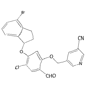 N#Cc1cncc(COc2cc(OC3CCc4c(Br)cccc43)c(Cl)cc2C=O)c1